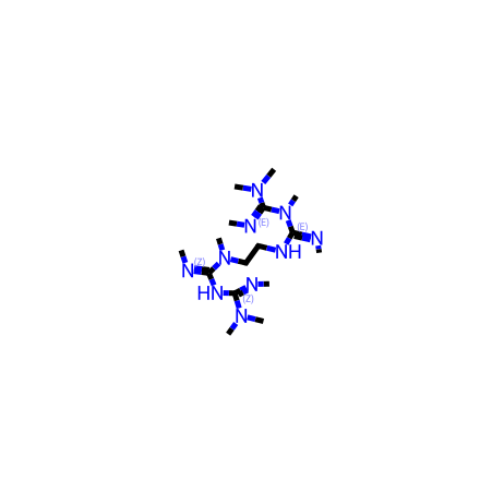 C/N=C(/N/C(=N/C)N(C)CCN/C(=N\C)N(C)/C(=N/C)N(C)C)N(C)C